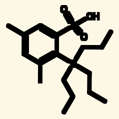 CCC[Si](CCC)(CCC)c1c(C)cc(C)cc1S(=O)(=O)O